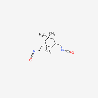 CC1(C)CC(CN=C=O)CC(C)(CCN=C=O)C1